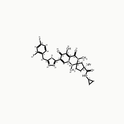 CC(C)[C@]1(C(=O)NC2CC2)CCC2(C1)N(C)C(=O)c1c(O)c(=O)c(-c3nnc(Cc4ccc(F)cc4F)s3)cn1N2C